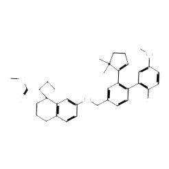 COC(=O)[C@@H]1CC[C@]12CCCc1ccc(OCc3ccc(-c4cc(OC)ccc4F)c(C4=CCCC4(C)C)c3)cc12